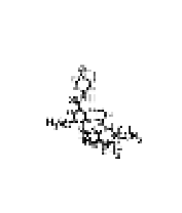 C=C[C@]1(C)CN(C2CCCC2)c2nc(Nc3ccc(C(=O)NC4CCN(C)CC4)cc3OC)ncc2N(C)C1=O